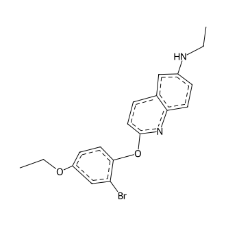 CCNc1ccc2nc(Oc3ccc(OCC)cc3Br)ccc2c1